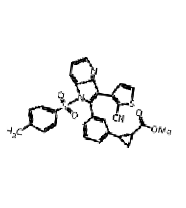 COC(=O)C1CC1c1cccc(-c2c(-c3ccsc3C#N)c3ncccc3n2S(=O)(=O)c2ccc(C)cc2)c1